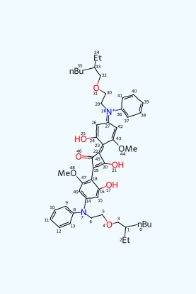 CCCCC(CC)COCCN(c1ccccc1)c1cc(O)c(C2=C(O)/C(=C3C(O)=C/C(=[N+](\CCOCC(CC)CCCC)c4ccccc4)C=C/3OC)C2=O)c(OC)c1